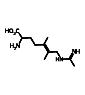 CC(=N)NC/C(C)=C(\C)CCC(N)C(=O)O